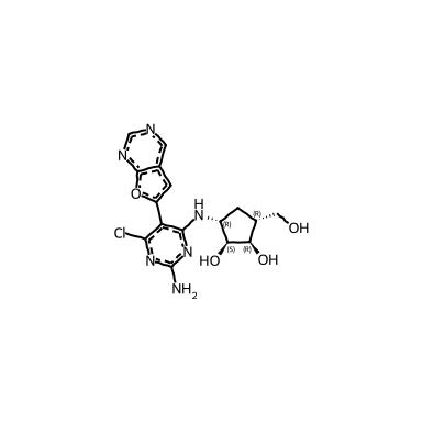 Nc1nc(Cl)c(-c2cc3cncnc3o2)c(N[C@@H]2C[C@H](CO)[C@@H](O)[C@H]2O)n1